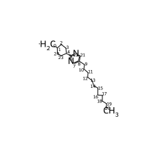 [CH2]C1CCC(c2ncc(CCCCCCCCCCCC)cn2)CC1